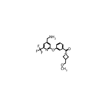 COCC1CN(C(=O)c2cccc(Oc3cc(CN)cc(C(F)(F)F)n3)c2)C1